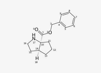 O=C(OCc1ccccc1)[C@]12CCC[C@H]1CCN2